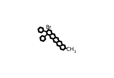 Cc1ccc2cc3cc4cc5c(-c6ccccc6)c(-c6ccccc6)c(Br)cc5cc4cc3cc2c1